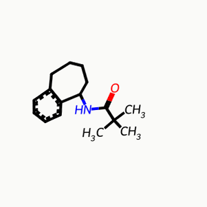 CC(C)(C)C(=O)NC1CCCCc2ccccc21